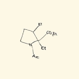 CCOC(=O)C1(CC)C(CC)CCN1C(C)=O